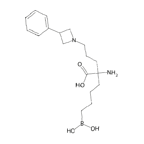 NC(CCCCB(O)O)(CCCN1CC(c2ccccc2)C1)C(=O)O